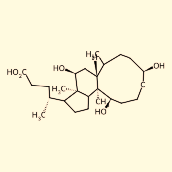 CC1CC[C@@H](O)CCC[C@@H](O)[C@@]2(C)C3CCC([C@H](C)CCC(=O)O)[C@@]3(C)[C@@H](O)C[C@H]12